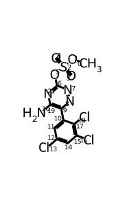 COS(=O)(=O)Oc1nnc(-c2cc(Cl)cc(Cl)c2Cl)c(N)n1